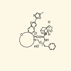 Cc1cnc(-c2cc3cc4c(cc3o2)COCCCCCCCN(C[C@@H](O)[C@H](Cc2ccccc2)NC(=O)O[C@H]2C3CO[C@H]5OC[C@@H]2C5C3)S4(=O)=O)o1